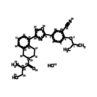 CC(C)Oc1ccc(-c2nc(-c3cccc4c3CCN(C(=O)[C@H](N)CO)C4)no2)cc1C#N.Cl